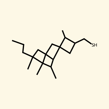 CCCC1(C)CC23CC4(CC(CS)C4C)C2C(C)C13C